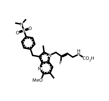 COc1nc2c(Cc3ccc(S(=O)(=O)N(C)C)cc3)c(C)n(CC(F)=CCNC(=O)O)c2cc1C